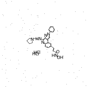 Cl.Cl.O=C(/C=C/c1ccc2nc(NCCN3CCCC3)c3nn(-c4ccccc4)cc3c2c1)NO